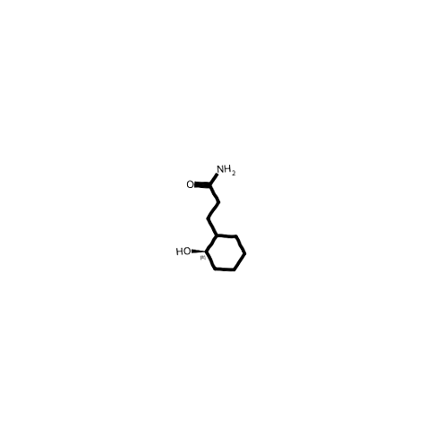 NC(=O)CCC1CCCC[C@H]1O